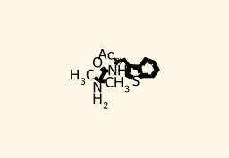 CC(=O)[C@@H](Cc1csc2ccccc12)NC(=O)C(C)(C)N